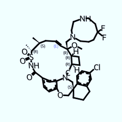 CO[C@@]1(CN2CCCC(F)(F)CCNCC2)/C=C/C[C@H](C)[C@@H](C)S(=O)(=O)NC(=O)c2ccc3c(c2)N(C[C@@H]2CC[C@H]21)C[C@@]1(CCCc2cc(Cl)ccc21)CO3